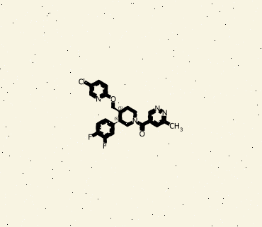 Cc1cc(C(=O)N2CC[C@H](COc3ccc(Cl)cn3)[C@@H](c3ccc(F)c(F)c3)C2)cnn1